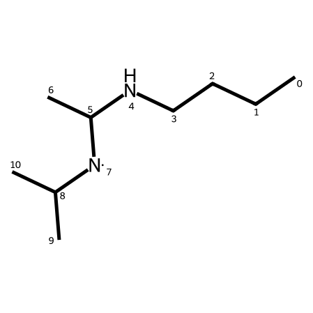 CCCCNC(C)[N]C(C)C